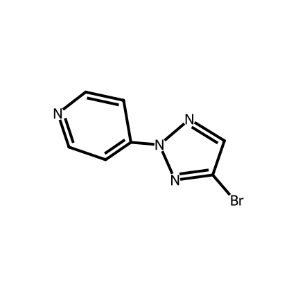 Brc1cnn(-c2ccncc2)n1